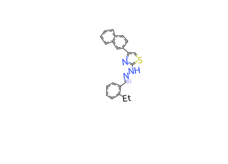 CCc1ccccc1/C=N/Nc1nc(-c2ccc3ccccc3c2)cs1